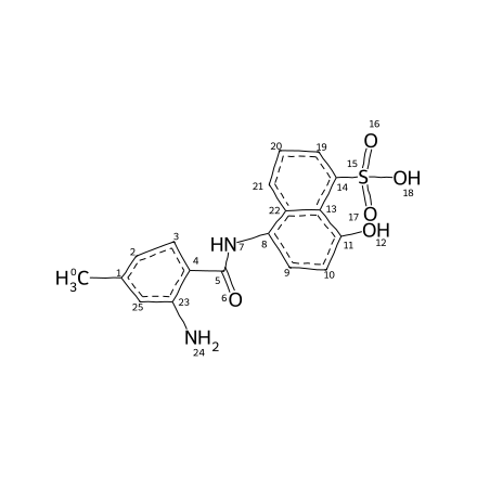 Cc1ccc(C(=O)Nc2ccc(O)c3c(S(=O)(=O)O)cccc23)c(N)c1